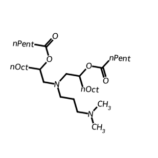 CCCCCCCCC(CN(CCCN(C)C)CC(CCCCCCCC)OC(=O)CCCCC)OC(=O)CCCCC